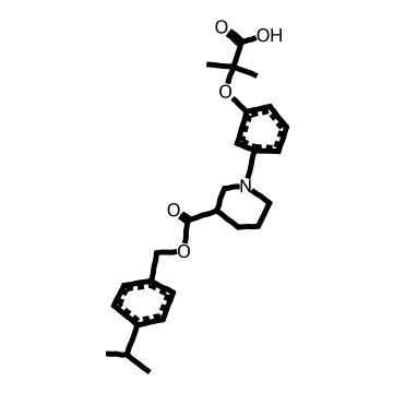 CC(C)c1ccc(COC(=O)C2CCCN(c3cccc(OC(C)(C)C(=O)O)c3)C2)cc1